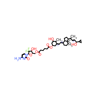 C=C1/C(=C\C=C2/CCC[C@@]3(C)C2CCC3[C@@H](C)/C=C/C(O)C2CC2)CC(OC(=O)CCCCC(=O)OCC2OC(n3ccc(N)nc3=O)C(F)(F)C2O)C[C@@H]1O